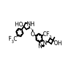 CC1(O)CC(n2cnc3cc(OC[C@@H]4C[C@](O)(c5ccc(C(F)(F)F)cc5)CN4)cc(C(F)(F)F)c32)C1